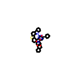 c1ccc(-c2nc(-c3ccccc3)nc(-n3c4ccccc4c4ccc5sc6ccc7c(c8ccccc8n7-c7ccc8ccccc8c7)c6c5c43)n2)cc1